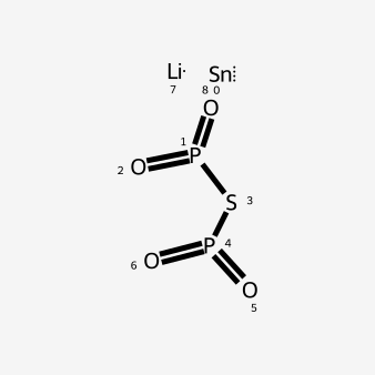 O=P(=O)SP(=O)=O.[Li].[Sn]